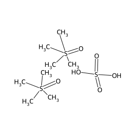 CS(C)(C)(C)=O.CS(C)(C)(C)=O.O=S(=O)(O)O